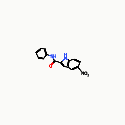 O=C(Nc1ccccc1)c1cc2cc([N+](=O)[O-])ccc2[nH]1